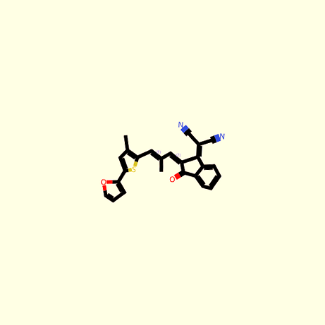 CC(/C=C1\C(=O)c2ccccc2C1=C(C#N)C#N)=C\c1sc(-c2ccco2)cc1C